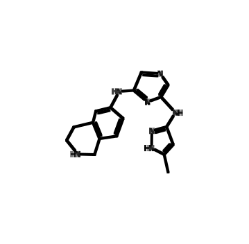 Cc1cc(Nc2cncc(Nc3ccc4c(c3)CCNC4)n2)n[nH]1